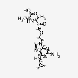 CC(N[C@@H](C)C(=O)O)[PH](=O)COCCn1cnc2c(NC3CC3)nc(N)nc21